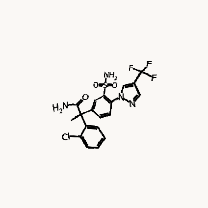 CC(C(N)=O)(c1ccc(-n2cc(C(F)(F)F)cn2)c(S(N)(=O)=O)c1)c1ccccc1Cl